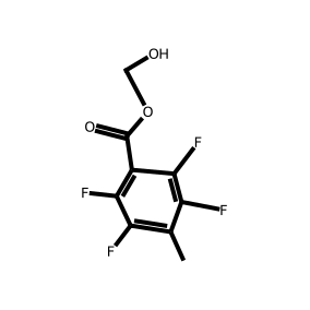 Cc1c(F)c(F)c(C(=O)OCO)c(F)c1F